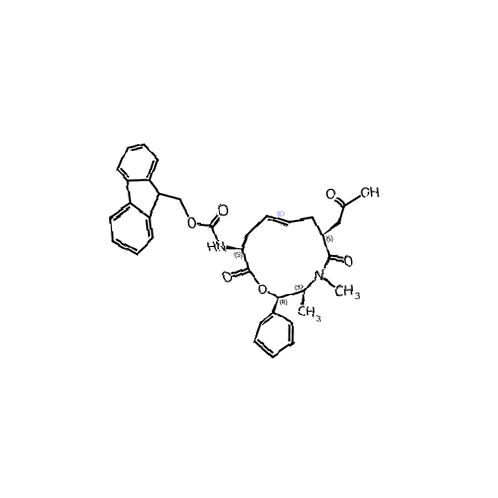 C[C@H]1[C@@H](c2ccccc2)OC(=O)[C@@H](NC(=O)OCC2c3ccccc3-c3ccccc32)C/C=C/C[C@@H](CC(=O)O)C(=O)N1C